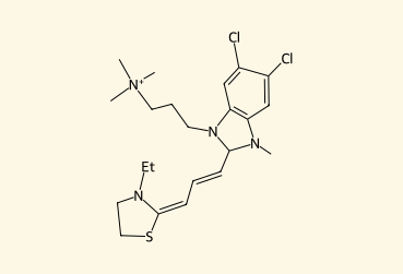 CCN1CCS/C1=C/C=C/C1N(C)c2cc(Cl)c(Cl)cc2N1CCC[N+](C)(C)C